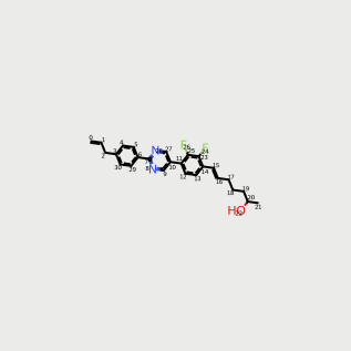 C=CCc1ccc(-c2ncc(-c3ccc(C=CCCCC(C)O)c(F)c3F)cn2)cc1